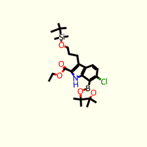 CCOC(=O)c1[nH]c2c(B3OC(C)(C)C(C)(C)O3)c(Cl)ccc2c1CCCO[Si](C)(C)C(C)(C)C